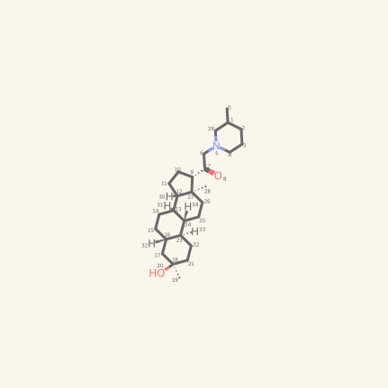 CC1CCCN(CC(=O)[C@H]2CC[C@H]3[C@@H]4CC[C@H]5C[C@](C)(O)CC[C@@H]5[C@H]4CC[C@]23C)C1